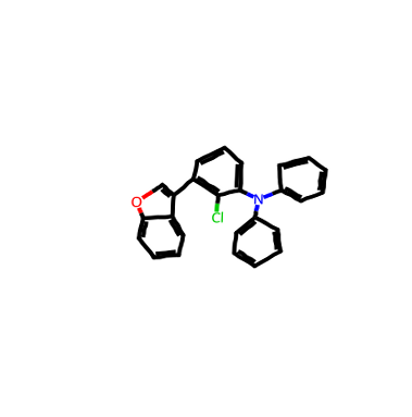 Clc1c(-c2coc3ccccc23)cccc1N(c1ccccc1)c1ccccc1